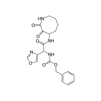 O=C(NC(C(=O)NC1CCCCNC(=O)C1=O)c1cocn1)OCc1ccccc1